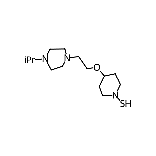 CC(C)N1CCN(CCOC2CCN(S)CC2)CC1